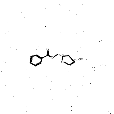 O=C(OC[C@@H]1C[C@H](O)CO1)c1ccccc1